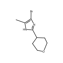 Cc1[nH]c(C2CCOCC2)nc1Br